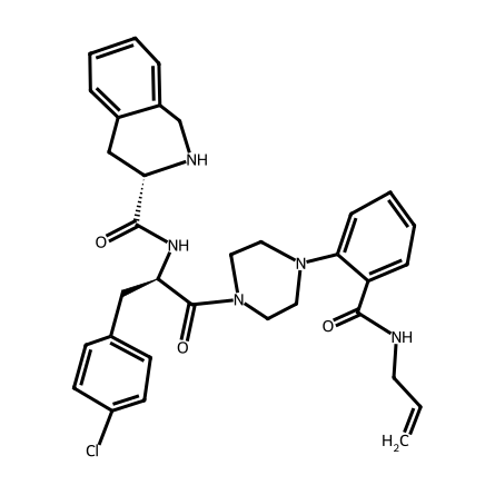 C=CCNC(=O)c1ccccc1N1CCN(C(=O)[C@@H](Cc2ccc(Cl)cc2)NC(=O)[C@@H]2Cc3ccccc3CN2)CC1